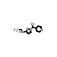 CCC(c1ccncc1)n1ccc(NCC(F)(F)F)n1